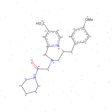 COc1ccc(CCCN(CC(=O)N2CCCCC2)Cc2cc(C(=O)O)ccn2)cc1